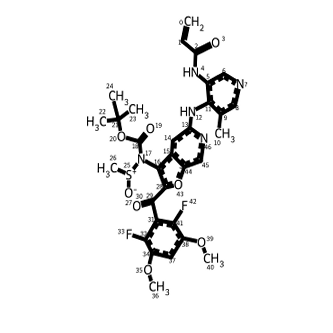 C=CC(=O)Nc1cncc(C)c1Nc1cc2c(N(C(=O)OC(C)(C)C)[S+](C)[O-])c(C(=O)c3c(F)c(OC)cc(OC)c3F)oc2cn1